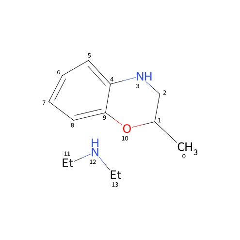 CC1CNc2ccccc2O1.CCNCC